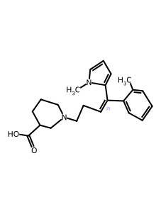 Cc1ccccc1/C(=C/CCN1CCCC(C(=O)O)C1)c1cccn1C